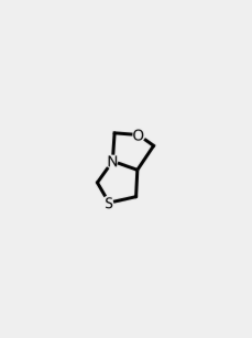 C1OCN2CSCC12